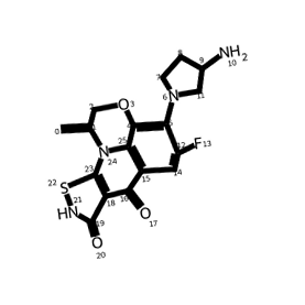 C=C1COc2c(N3CCC(N)C3)c(F)cc3c(=O)c4c(=O)[nH]sc4n1c23